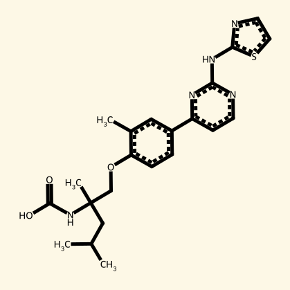 Cc1cc(-c2ccnc(Nc3nccs3)n2)ccc1OCC(C)(CC(C)C)NC(=O)O